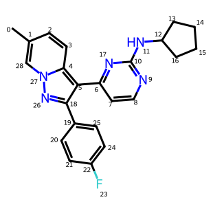 Cc1ccc2c(-c3ccnc(NC4CCCC4)n3)c(-c3ccc(F)cc3)nn2c1